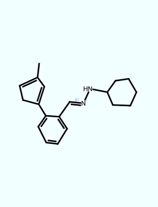 CC1=CCC(c2ccccc2/C=N/NC2CCCCC2)=C1